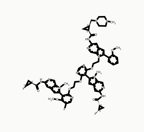 COc1ccccc1-c1cc2cc(NC(=O)[C@H]3C[C@H]3CN3CCN(C)CC3)ncc2n1CCOc1ncnc(OCCOc2ncc(F)c(OC)c2-c2cc3cc(NC(=O)[C@@H]4C[C@@H]4F)ncc3n2C)c1-c1cc2cc(NC(=O)[C@@H]3C[C@@H]3F)ncc2n1C